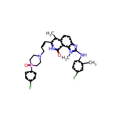 Cc1cc(F)ccc1Nc1nc2ccc3c(C)c(/C=C\CN4CCP(=O)(c5ccc(F)cc5)CC4)[nH]c(=O)c3c2n1C